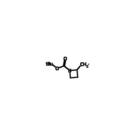 [CH2]C1CCN1C(=O)OC(C)(C)C